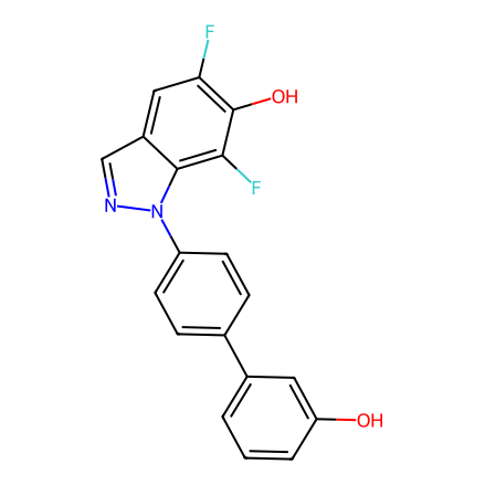 Oc1cccc(-c2ccc(-n3ncc4cc(F)c(O)c(F)c43)cc2)c1